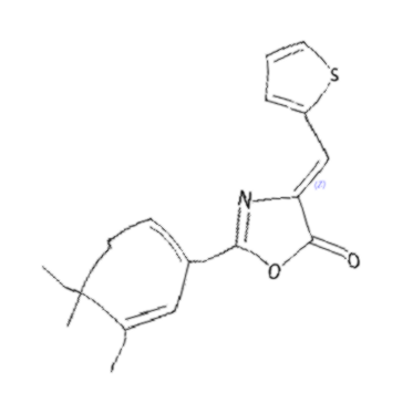 CC1(C)CC=C(C2=N/C(=C\c3cccs3)C(=O)O2)C=C1I